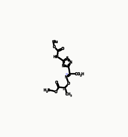 BOC(=O)[C@H](C)O/N=C(\C(=O)O)c1nsc(NC(=O)OC(C)(C)C)n1